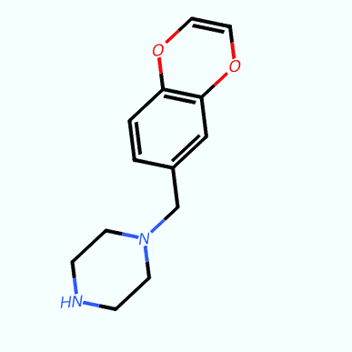 C1=COc2cc(CN3CCNCC3)ccc2O1